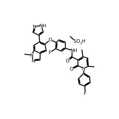 CS(=O)(=O)O.Cc1cc(C)n(-c2ccc(F)cc2)c(=O)c1C(=O)Nc1ccc(Oc2cc3cnn(C)c3cc2-c2cn[nH]c2)c(F)c1